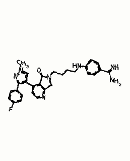 Cn1cc(-c2ccnc3c2C(=O)N(CCCCNc2ccc(C(=N)N)cc2)C3)c(-c2ccc(F)cc2)n1